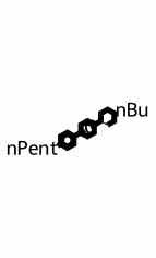 CCCCCc1ccc(C23CCC([C@H]4CC[C@H](CCCC)CC4)(CC2)CC3)cc1